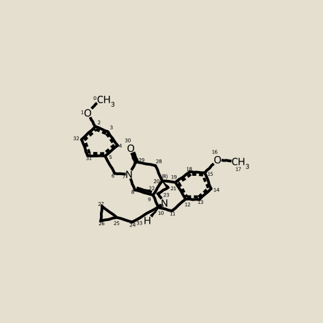 COc1ccc(CN2C=C3[C@H]4Cc5ccc(OC)cc5[C@@]3(CCN4CC3CC3)CC2=O)cc1